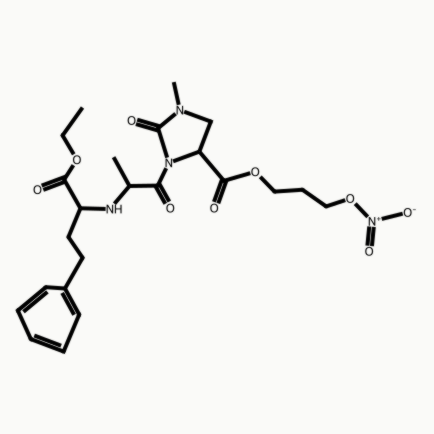 CCOC(=O)C(CCc1ccccc1)NC(C)C(=O)N1C(=O)N(C)CC1C(=O)OCCCO[N+](=O)[O-]